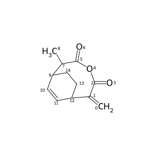 C=C1C(=O)OC(=O)C(C)C2C=CC1CC2